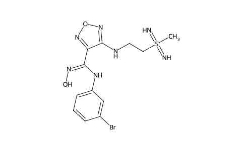 CS(=N)(=N)CCNc1nonc1/C(=N/O)Nc1cccc(Br)c1